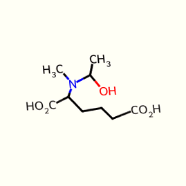 CC(O)N(C)C(CCCC(=O)O)C(=O)O